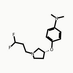 CN(C)c1ccc(O[C@@H]2CCN(CCC(F)F)C2)cc1